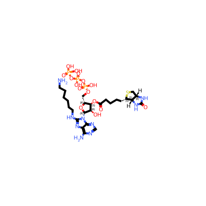 NCCCCCCNc1nc2c(N)ncnc2n1[C@@H]1O[C@H](COP(=O)(O)OP(=O)(O)OP(=O)(O)O)[C@@H](OC(=O)CCCC[C@@H]2SC[C@@H]3NC(=O)N[C@@H]32)[C@H]1O